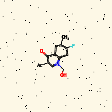 CC(=O)c1cn(CO)c2cc(F)c(C)cc2c1=O